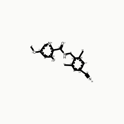 COc1cnc(C(=O)NCc2c(C)cc(C#N)cc2C)c(F)c1